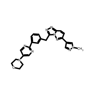 Cn1cc(-c2ccc3nnc(Cc4cccc(-c5ncc(N6CCOCC6)cn5)c4)n3n2)cn1